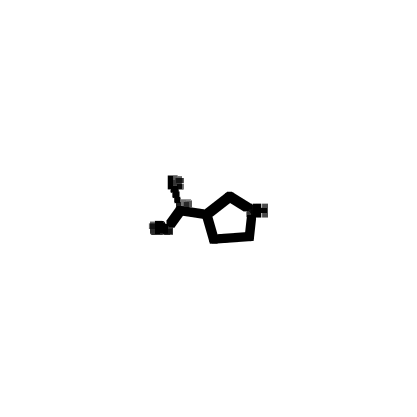 CC[C@H](C1CCNC1)C(C)(C)C